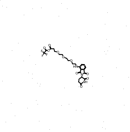 O=C1CCC(N2C(=O)c3cccc(NCCOCCOCCOCCC(=O)OC(=O)C(F)(F)F)c3C2=O)C(=O)N1